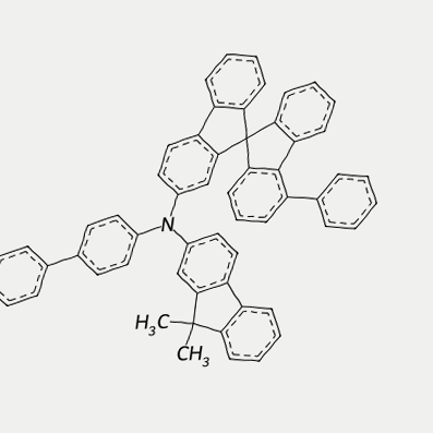 CC1(C)c2ccccc2-c2ccc(N(c3ccc(-c4ccccc4)cc3)c3ccc4c(c3)C3(c5ccccc5-4)c4ccccc4-c4c(-c5ccccc5)cccc43)cc21